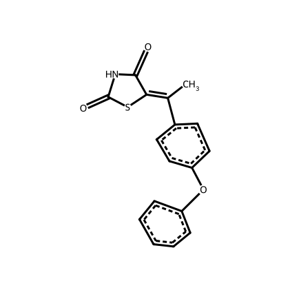 CC(=C1SC(=O)NC1=O)c1ccc(Oc2ccccc2)cc1